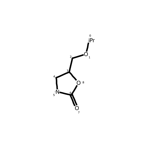 CC(C)OCC1C[N]C(=O)O1